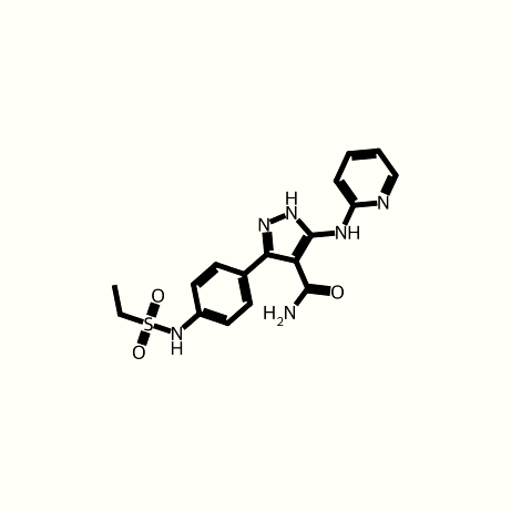 CCS(=O)(=O)Nc1ccc(-c2n[nH]c(Nc3ccccn3)c2C(N)=O)cc1